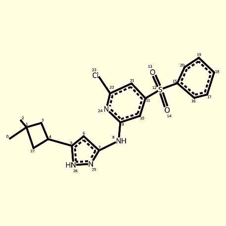 CC1(C)CC(c2cc(Nc3cc(S(=O)(=O)c4ccccc4)cc(Cl)n3)n[nH]2)C1